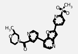 CC1CN(C(=O)c2cc(-c3ccnc4cc(-c5ccc(S(C)(=O)=O)nc5)oc34)ccn2)CCO1